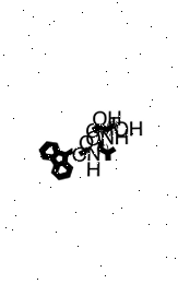 CC(C)[C@H](NC(=O)OCC1c2ccccc2-c2ccccc21)C(=O)N[C@H](C(=O)O)[C@@H](C)O